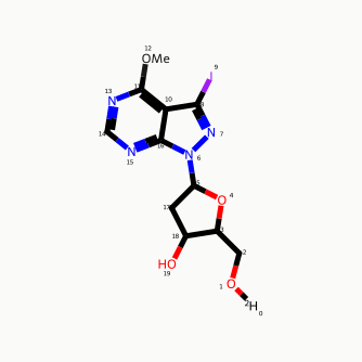 [2H]OCC1OC(n2nc(I)c3c(OC)ncnc32)CC1O